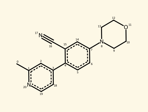 Cc1cc(-c2ccc(N3CCOCC3)cc2C#N)ccn1